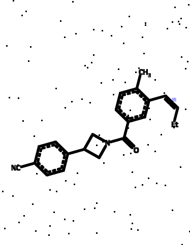 CC/C=C\c1cc(C(=O)N2CC(c3ccc(C#N)cc3)C2)ccc1C